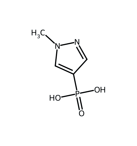 Cn1cc(P(=O)(O)O)cn1